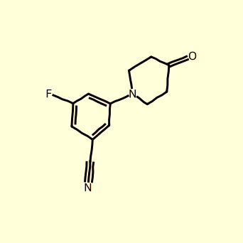 N#Cc1cc(F)cc(N2CCC(=O)CC2)c1